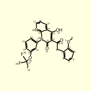 COc1ccccc1CC(=O)c1c(O)c2cccnc2n(-c2cccc(OC(F)(F)F)c2)c1=O